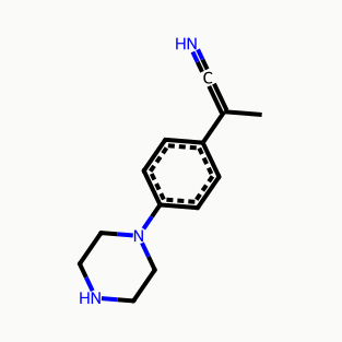 CC(=C=N)c1ccc(N2CCNCC2)cc1